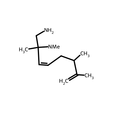 C=C(C)C(C)C/C=C\C(C)(CN)NC